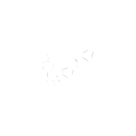 Cc1ccccc1C(=O)Nc1cc(F)c(S(=O)(=O)N[C@H](C)C2CCN(C)CC2)cc1Cl